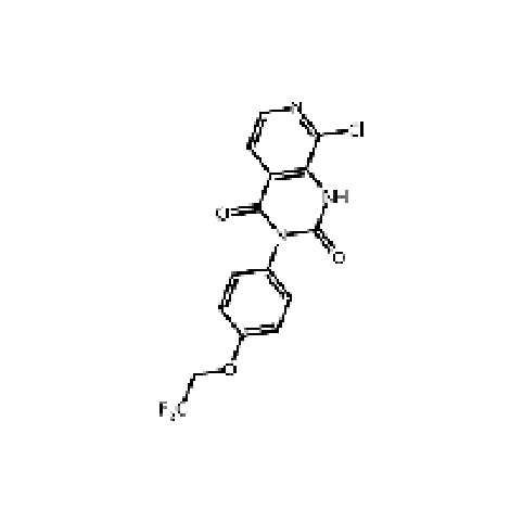 O=c1[nH]c2c(Cl)nccc2c(=O)n1-c1ccc(OCC(F)(F)F)cc1